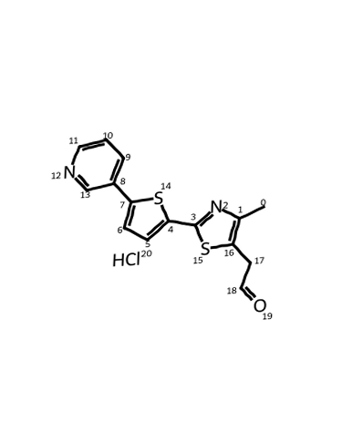 Cc1nc(-c2ccc(-c3cccnc3)s2)sc1CC=O.Cl